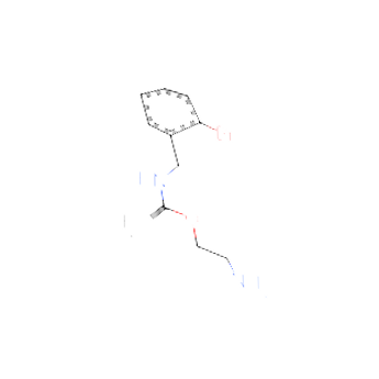 C=C(NCc1ccccc1Br)OCCN